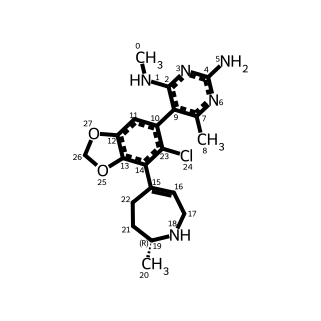 CNc1nc(N)nc(C)c1-c1cc2c(c(C3=CCN[C@H](C)CC3)c1Cl)OCO2